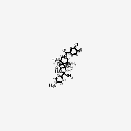 BC(B)(NC(B)(B)C1(F)C(B)(B)CN(C(=O)c2ccc(F)c(Cl)c2)CC1(B)B)c1ncc(C)cn1